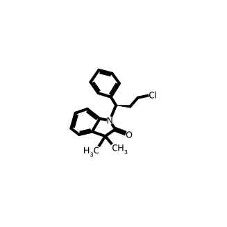 CC1(C)C(=O)N([C@H](CCCl)c2ccccc2)c2ccccc21